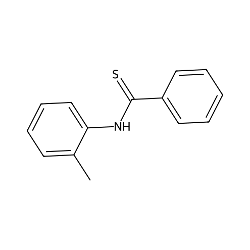 Cc1ccccc1NC(=S)c1ccccc1